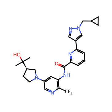 CC(C)(O)[C@@H]1CCN(c2cnc(C(F)(F)F)c(NC(=O)c3cccc(-c4cnn(CC5CC5)c4)n3)c2)C1